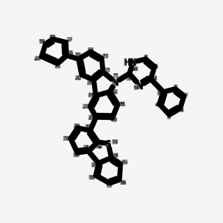 C1=CC(c2ccccc2)=NC(n2c3ccc(-c4ccccc4)cc3c3cc(-c4cccc5c4sc4ccccc45)ccc32)N1